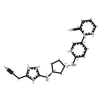 N#CCc1nc(N[C@H]2CC[C@H](Nc3ccc(-n4ncccc4=O)cn3)C2)no1